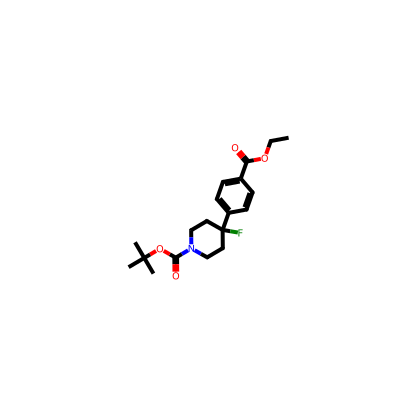 CCOC(=O)c1ccc(C2(F)CCN(C(=O)OC(C)(C)C)CC2)cc1